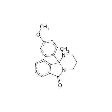 COc1ccc(C23c4ccccc4C(=O)N2CCCN3C)cc1